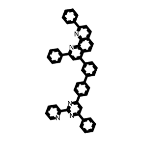 c1ccc(-c2cc(-c3ccc(-c4cccc(-c5cc(-c6ccccc6)nc6c5ccc5ccc(-c7ccccc7)nc56)c4)cc3)nc(-c3ccccn3)n2)cc1